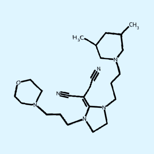 CC1CC(C)CN(CCCN2CCN(CCCN3CCOCC3)C2=C(C#N)C#N)C1